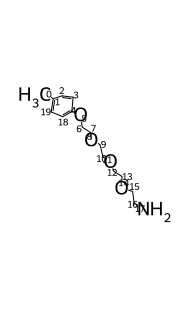 Cc1ccc(OCCOCCOCCOCCN)cc1